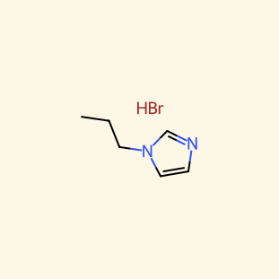 Br.CCCn1ccnc1